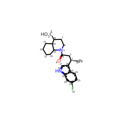 CC(C)[C@H](CC(=O)N1CCC(C(=O)O)C2CCCCC21)c1c[nH]c2cc(F)ccc12